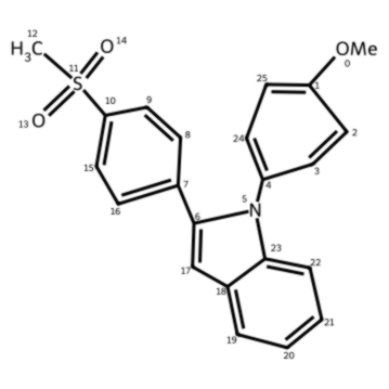 COc1ccc(-n2c(-c3ccc(S(C)(=O)=O)cc3)cc3ccccc32)cc1